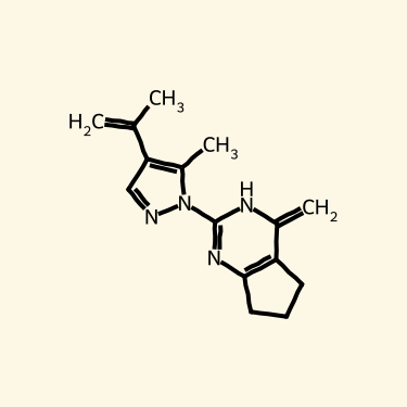 C=C1NC(n2ncc(C(=C)C)c2C)=NC2=C1CCC2